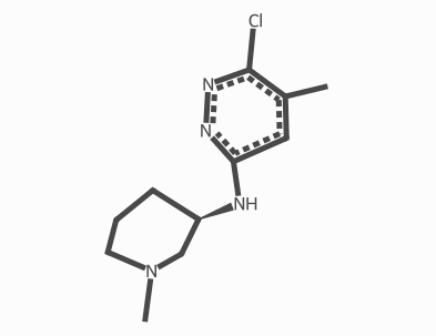 Cc1cc(N[C@@H]2CCCN(C)C2)nnc1Cl